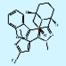 Cn1nc(C(F)(F)F)cc1-c1c2c(nn1C)[C@H]1CCC[C@@H](C2)N1C(=O)c1noc2ccccc12